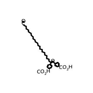 O=C=CCCCCCCCCCCCCCCCCCCCCCCC1(c2ccc(C(=O)O)cc2)OC1c1ccc(C(=O)O)cc1